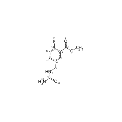 COC(=O)c1cc(CNC(N)=O)ccc1F